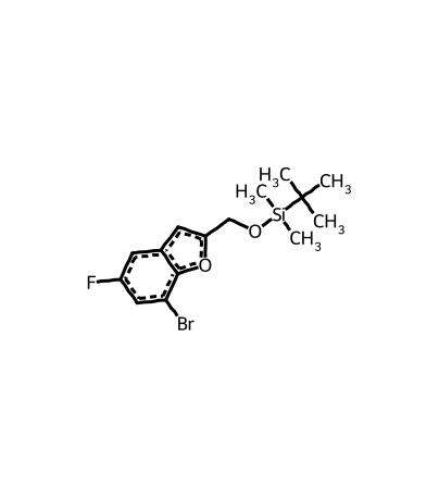 CC(C)(C)[Si](C)(C)OCc1cc2cc(F)cc(Br)c2o1